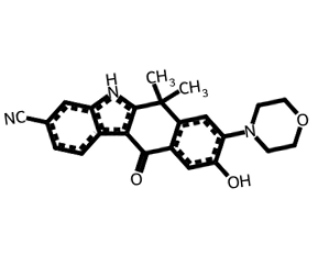 CC1(C)c2cc(N3CCOCC3)c(O)cc2C(=O)c2c1[nH]c1cc(C#N)ccc21